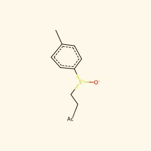 CC(=O)CC[S+]([O-])c1ccc(C)cc1